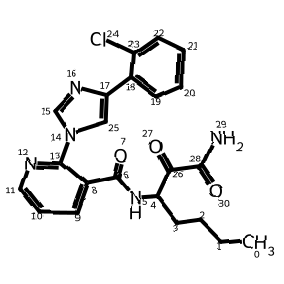 CCCCC(NC(=O)c1cccnc1-n1cnc(-c2ccccc2Cl)c1)C(=O)C(N)=O